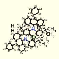 CC(C)(C)c1cccc(N(c2cc(C(C)(C)C)cc(N(c3cccc(C(C)(C)C)c3)c3c4ccccc4c(-c4ccccc4)c4ccccc34)c2Cl)c2c3ccccc3c(-c3ccccc3)c3ccccc23)c1